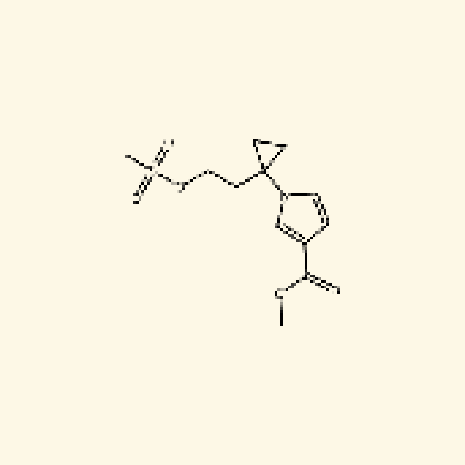 COC(=O)c1ccn(C2(CCOS(C)(=O)=O)CC2)c1